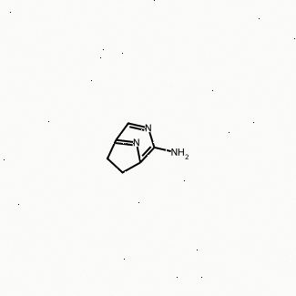 Nc1ncc2nc1CC2